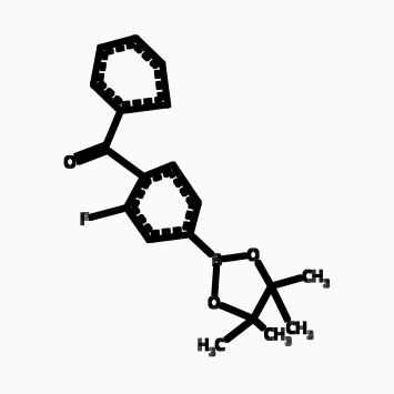 CC1(C)OB(c2ccc(C(=O)c3ccccc3)c(F)c2)OC1(C)C